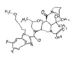 COCCCCn1c(C(=O)N(CC(C)C)[C@H]2C[C@@H](C(=O)N3CCC3)C(C(C)(C)C)N(C(=O)O)C2)nc2cc(F)c(F)cc21